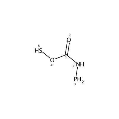 O=C(NP)OS